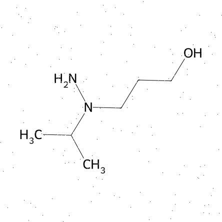 CC(C)N(N)CCCO